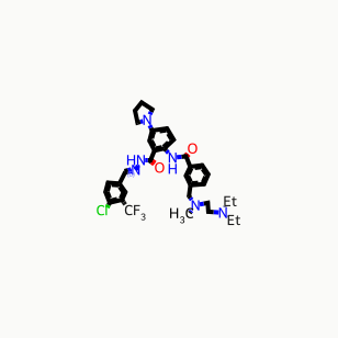 CCN(CC)CCN(C)Cc1cccc(C(=O)Nc2ccc(N3CCCC3)cc2C(=O)N/N=C/c2ccc(Cl)c(C(F)(F)F)c2)c1